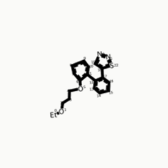 CCOCCCOc1ccccc1-c1ccccc1-c1[c]nns1